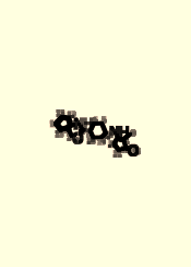 CC1=C(N[C@H]2CC[C@H](C(=O)Nc3ccccc3C)CC2)CCC1=O